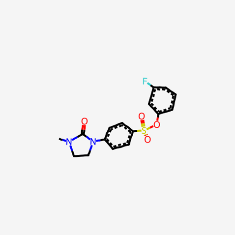 CN1CCN(c2ccc(S(=O)(=O)Oc3cccc(F)c3)cc2)C1=O